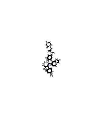 CN1CCN(CC(=O)N(C)c2ccc(N/C(=C3\C(=O)Nc4cc(Cl)ccc43)c3ccn4ccnc4c3)cc2)CC1